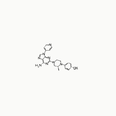 C[C@H]1CN(c2nc(N)c3ncn(-c4ccncc4)c3n2)CCN1c1ccc(O)cc1